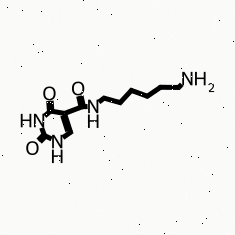 NCCCCCCNC(=O)c1c[nH]c(=O)[nH]c1=O